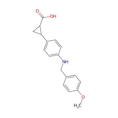 COc1ccc(CNc2ccc(C3CC3C(=O)O)cc2)cc1